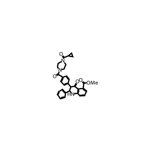 COC(=O)c1cccc2c1C(=O)C(c1ccc(C(=O)N3CCN(C(=O)C4CC4)CC3)cc1)C(c1ccccc1)N2